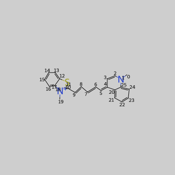 CN1C=CC(=CC=CC=Cc2sc3ccccc3[n+]2C)c2ccccc21